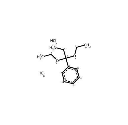 CCOC(CN)(OCC)c1cccnc1.Cl.Cl